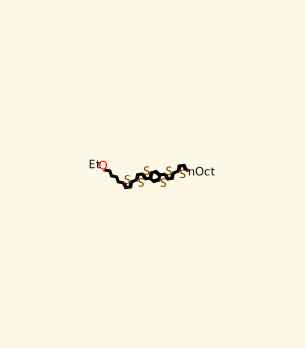 CCCCCCCCc1ccc(-c2cc3sc4cc5c(cc4c3s2)sc2cc(-c3ccc(CCCCCOCC)s3)sc25)s1